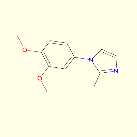 COc1ccc(-n2ccnc2C)cc1OC